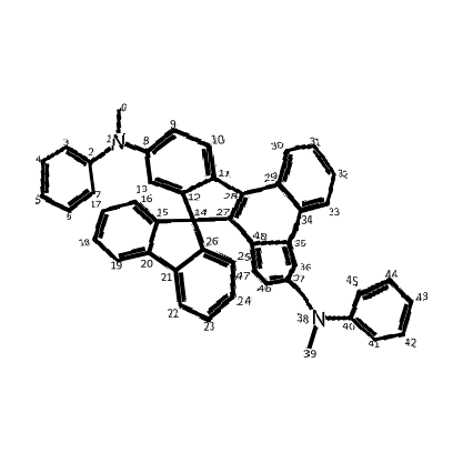 CN(c1ccccc1)c1ccc2c(c1)C1(c3ccccc3-c3ccccc31)c1c-2c2ccccc2c2cc(N(C)c3ccccc3)ccc12